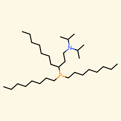 CCCCCCCCP(CCCCCCCC)C(CCCCCCC)CCN(C(C)C)C(C)C